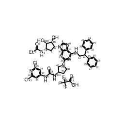 CCC(=O)N[C@H]1C[C@@H](n2cnc3c(NCC(c4ccccc4)c4ccccc4)nc(N4CC[C@@H](NC(=O)Nc5cc(Cl)nc(Cl)c5)C4)nc32)[C@H](O)[C@@H]1O.O=C(O)C(F)(F)F